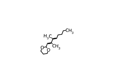 CCCC/C=C(C)/C(C)=C/C1OCCCO1